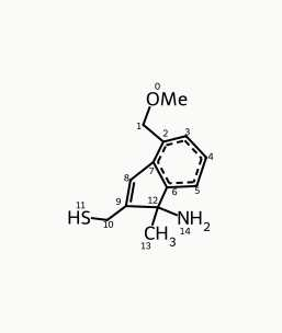 COCc1cccc2c1C=C(CS)C2(C)N